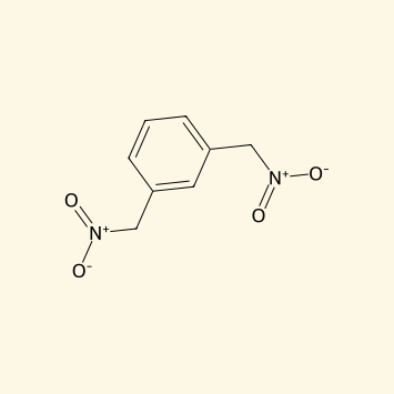 O=[N+]([O-])Cc1cccc(C[N+](=O)[O-])c1